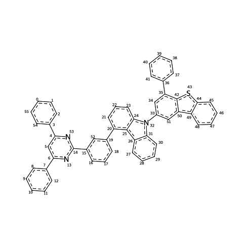 c1ccc(-c2cc(-c3ccccc3)nc(-c3cccc(-c4cccc5c4c4ccccc4n5-c4cc(-c5ccccc5)c5sc6ccccc6c5c4)c3)n2)cc1